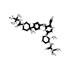 C[C@@H]1[C@H](NC(=O)N(C)C)CCCN1c1cnc(C#N)c(Nc2ccc(C3(C)CCN(C(=O)OC(C)(C)C)CC3)cc2)n1